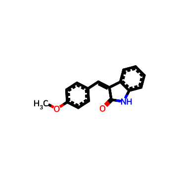 COc1ccc(C=C2C(=O)Nc3ccccc32)cc1